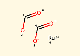 O=C[O-].O=C[O-].[Ru+2]